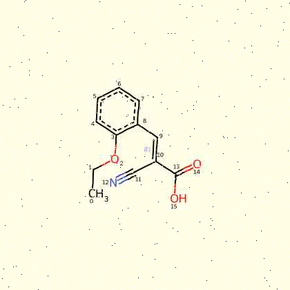 CCOc1ccccc1/C=C(\C#N)C(=O)O